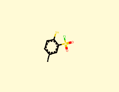 Cc1ccc(S)c(S(=O)(=O)Cl)c1